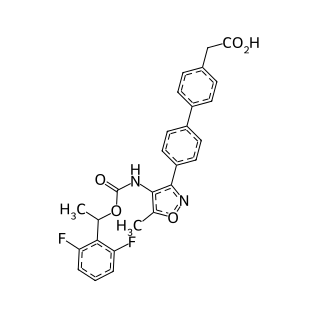 Cc1onc(-c2ccc(-c3ccc(CC(=O)O)cc3)cc2)c1NC(=O)OC(C)c1c(F)cccc1F